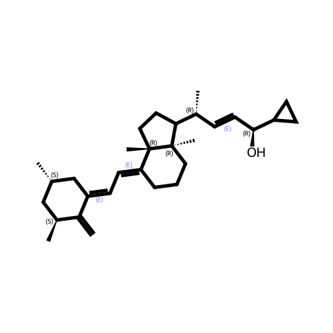 C=C1/C(=C/C=C2\CCC[C@]3(C)C([C@H](C)/C=C/[C@H](O)C4CC4)CC[C@@]23C)C[C@@H](C)C[C@@H]1C